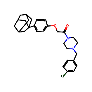 O=C(COc1ccc(C23CC4CC(CC(C4)C2)C3)cc1)N1CCN(Cc2ccc(Cl)cc2)CC1